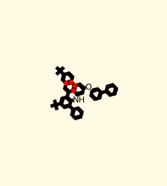 CC(C)(C)c1ccc(-c2cc(Nc3c(-c4ccccc4)cc(C(C)(C)C)cc3-c3ccccc3)cc(Oc3cccc(-c4ccccc4)c3)c2)cc1